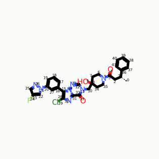 C[C@H](CC(=O)N1CCC(O)(Cn2cnn3c(-c4cccc(-n5cc(F)cn5)c4)c(Cl)nc3c2=O)CC1)c1ccccc1